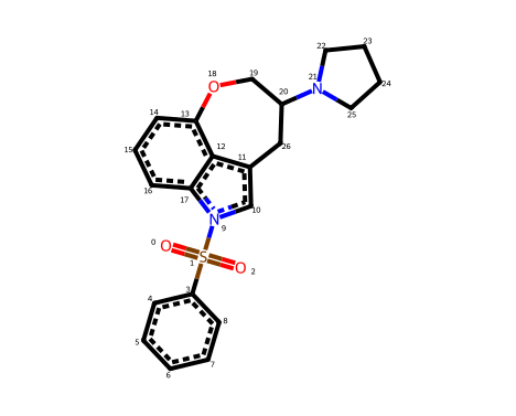 O=S(=O)(c1ccccc1)n1cc2c3c(cccc31)OCC(N1CCCC1)C2